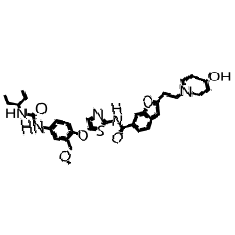 CCC(CC)NC(=O)Nc1ccc(Oc2cnc(NC(=O)c3ccc4cc(CCN5CCC(O)CC5)oc4c3)s2)c(COC)c1